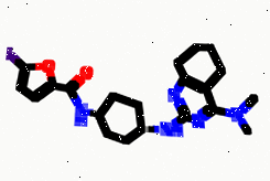 CN(C)c1nc(N[C@H]2CC[C@@H](NC(=O)c3ccc(I)o3)CC2)nc2c1CCCC2